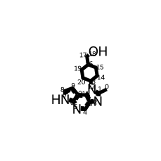 Cc1nc2cnc3[nH]ccc3c2n1C1CCC(CO)CC1